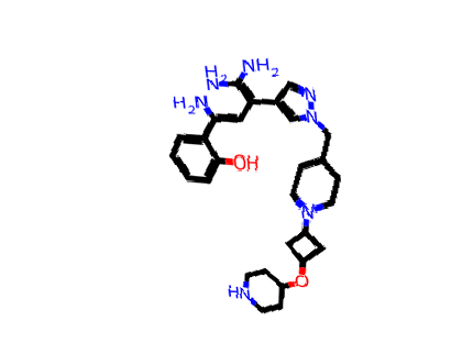 NC(N)=C(/C=C(\N)c1ccccc1O)c1cnn(CC2CCN(C3CC(OC4CCNCC4)C3)CC2)c1